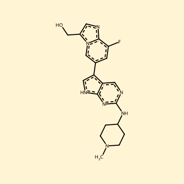 CN1CCC(Nc2ncc3c(-c4cc(F)c5ncc(CO)n5c4)c[nH]c3n2)CC1